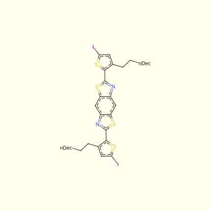 CCCCCCCCCCCCc1cc(I)sc1-c1nc2cc3sc(-c4sc(I)cc4CCCCCCCCCCCC)nc3cc2s1